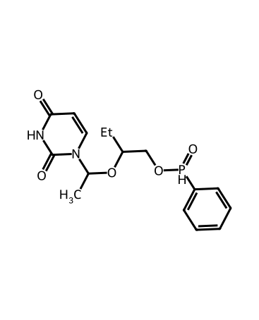 CCC(CO[PH](=O)c1ccccc1)OC(C)n1ccc(=O)[nH]c1=O